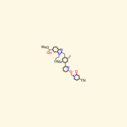 COCCn1c(Cc2ccc(-c3cccc(OCn4ccc(C#N)cc4=O)n3)cc2F)nc2ccc(C(O)OC)cc21